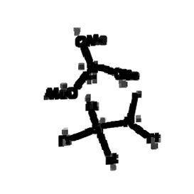 CCN(C)[Si](CC)(CC)CC.CO[SiH](OC)OC